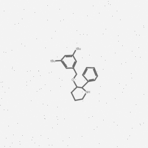 CC(C)(C)c1cc(COC2CCCNC2c2ccccc2)cc(C(C)(C)C)c1